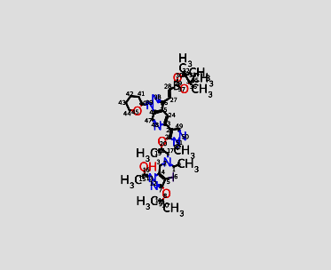 CCN(Cc1c(I)c(OC(C)C)nn1C(C)O)CC(C)Oc1c(-c2cc3c(/C=C/B4OC(C)(C)C(C)(C)O4)nn(C4CCCCO4)c3cn2)cnn1C